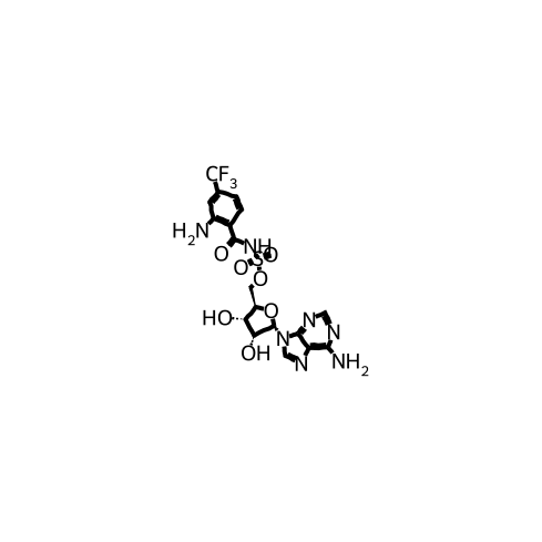 Nc1cc(C(F)(F)F)ccc1C(=O)NS(=O)(=O)OC[C@H]1O[C@@H](n2cnc3c(N)ncnc32)[C@H](O)[C@@H]1O